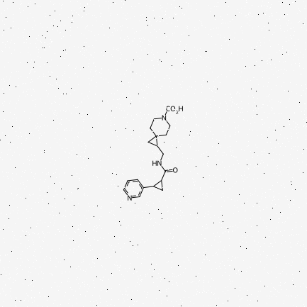 O=C(NCC1CC12CCN(C(=O)O)CC2)C1CC1c1cccnc1